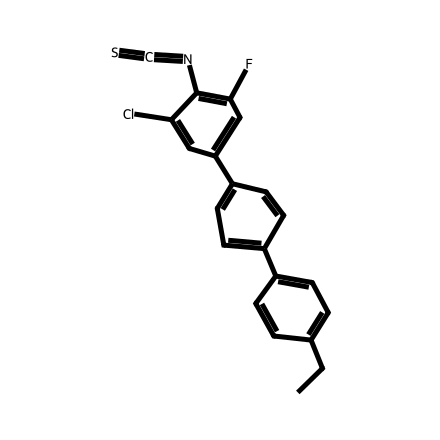 CCc1ccc(-c2ccc(-c3cc(F)c(N=C=S)c(Cl)c3)cc2)cc1